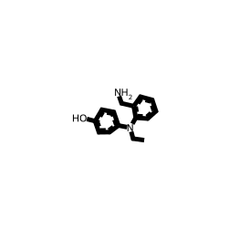 CCN(c1ccc(O)cc1)c1ccccc1CN